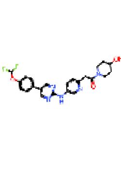 O=C(Cc1ccc(Nc2ncc(-c3ccc(OC(F)F)cc3)cn2)cn1)N1CCC(O)CC1